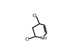 ClC1C=CNC(Cl)C1